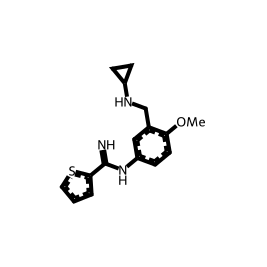 COc1ccc(NC(=N)c2cccs2)cc1CNC1CC1